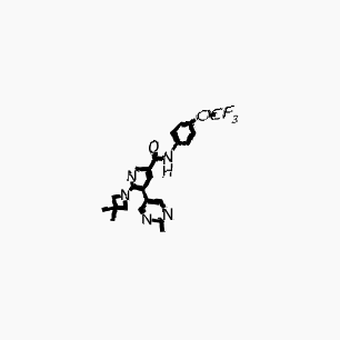 Cc1ncc(-c2cc(C(=O)Nc3ccc(OC(F)(F)F)cc3)cnc2N2CC(C)(C)C2)cn1